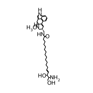 CN1C[C@H](CNC(=O)CCCCCCCCCCCCC=CC(O)C(N)CO)C=C2c3cccc4[nH]cc(c34)C[C@H]21